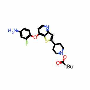 CC(C)(C)C(=O)ON1CCC(c2cc3nccc(Oc4ccc(N)cc4F)c3s2)CC1